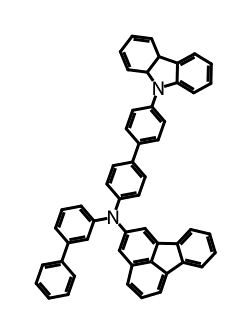 C1=CC2c3ccccc3N(c3ccc(-c4ccc(N(c5cccc(-c6ccccc6)c5)c5cc6c7c(cccc7c5)-c5ccccc5-6)cc4)cc3)C2C=C1